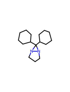 C1CCC(C2(C3CCCCC3)N3CCCN32)CC1